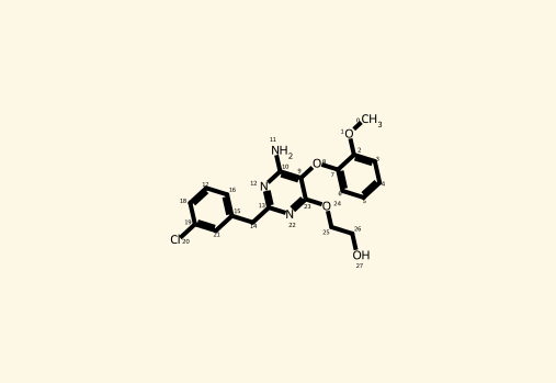 COc1ccccc1Oc1c(N)nc(Cc2cccc(Cl)c2)nc1OCCO